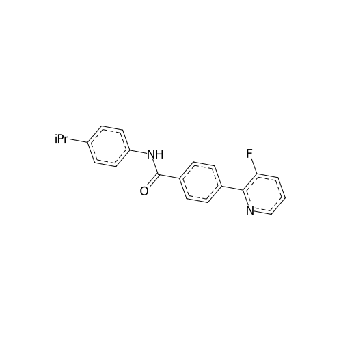 CC(C)c1ccc(NC(=O)c2ccc(-c3ncccc3F)cc2)cc1